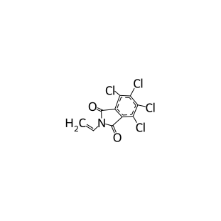 C=CN1C(=O)c2c(Cl)c(Cl)c(Cl)c(Cl)c2C1=O